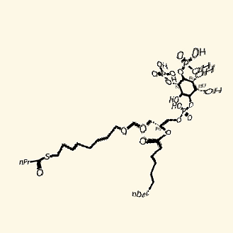 CCCCCCCCCCCCCCCC(=O)O[C@H](COCOCCCCCCCCSC(=O)CCC)COP(=O)(O)OC1C(O)[C@H](OP(=O)(O)O)C(OP(=O)(O)O)[C@H](O)[C@@H]1O